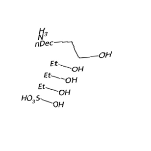 CCCCCCCCCCCCO.CCO.CCO.CCO.N.O=S(=O)(O)O